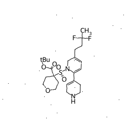 CC(F)(F)CCC1=CC=C(C2=CCNCC2)N(S(=O)(=O)C2(C(=O)OC(C)(C)C)CCOCC2)C1